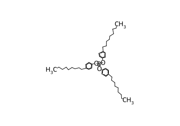 CCCCCCCCCc1ccc(OB(Oc2ccc(CCCCCCCCC)cc2)Oc2ccc(CCCCCCCCC)cc2)cc1